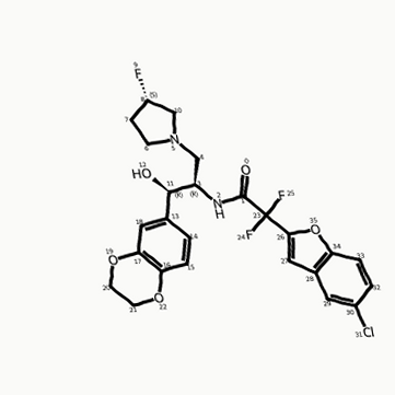 O=C(N[C@H](CN1CC[C@H](F)C1)[C@H](O)c1ccc2c(c1)OCCO2)C(F)(F)c1cc2cc(Cl)ccc2o1